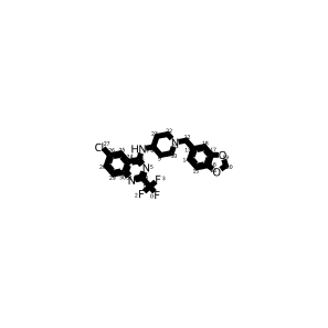 FC(F)(F)c1nc(NC2CCN(Cc3ccc4c(c3)OCO4)CC2)c2cc(Cl)ccc2n1